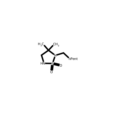 CCCCCCN1C(C)(C)CNS1(=O)=O